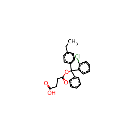 CCc1ccc(C(OC(=O)CCC(=O)O)(c2ccccc2)c2ccccc2Cl)cc1